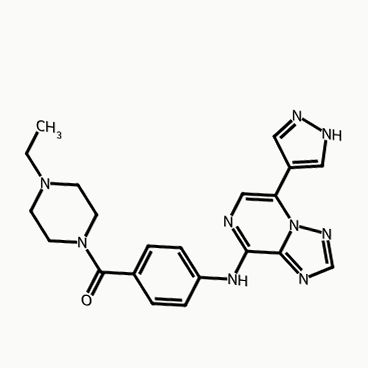 CCN1CCN(C(=O)c2ccc(Nc3ncc(-c4cn[nH]c4)n4ncnc34)cc2)CC1